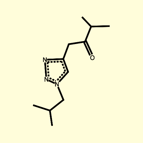 CC(C)Cn1cc(CC(=O)C(C)C)nn1